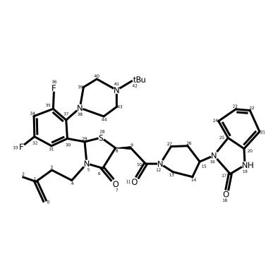 C=C(C)CCN1C(=O)[C@H](CC(=O)N2CCC(n3c(=O)[nH]c4ccccc43)CC2)SC1c1cc(F)cc(F)c1N1CCN(C(C)(C)C)CC1